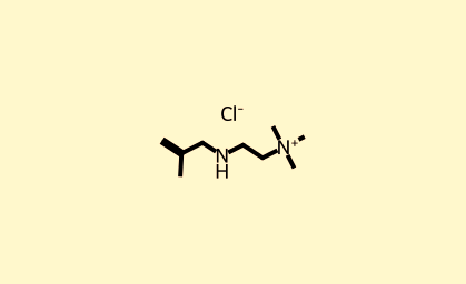 C=C(C)CNCC[N+](C)(C)C.[Cl-]